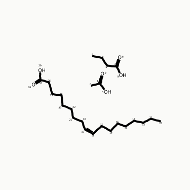 CC(=O)O.CCCC(=O)O.CCCCCCCC/C=C\CCCCCCCC(=O)O